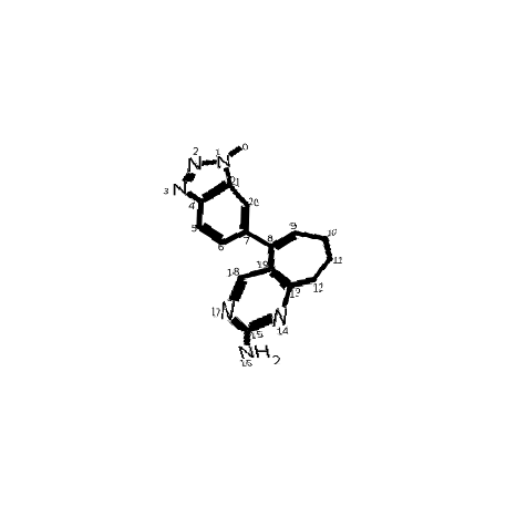 Cn1nnc2ccc(C3=CCCCc4nc(N)ncc43)cc21